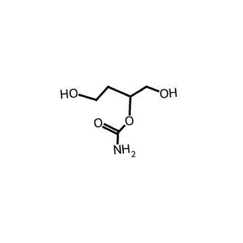 NC(=O)OC(CO)CCO